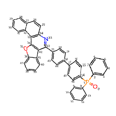 O=P(c1ccccc1)(c1ccccc1)c1ccc(-c2ccc(-c3nc4ccc5ccccc5c4c4oc5ccccc5c34)cc2)cc1